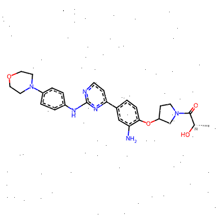 C[C@H](O)C(=O)N1CCC(Oc2ccc(-c3ccnc(Nc4ccc(N5CCOCC5)cc4)n3)cc2N)C1